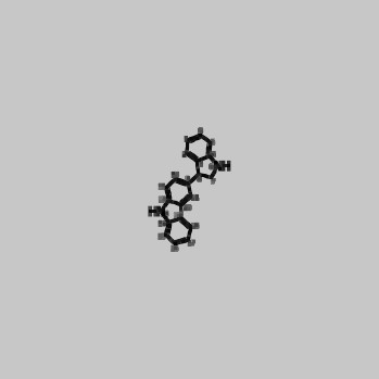 c1ccc2c(c1)NCC2c1ccc2[nH]c3ccccc3c2c1